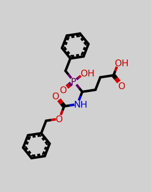 O=C(O)CCC(NC(=O)OCc1ccccc1)P(=O)(O)Cc1ccccc1